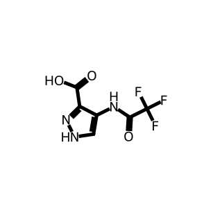 O=C(O)c1n[nH]cc1NC(=O)C(F)(F)F